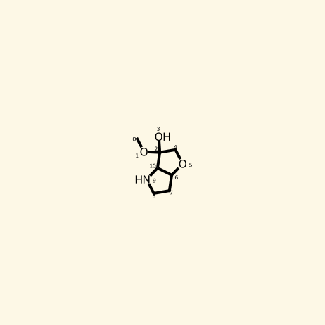 COC1(O)COC2CCNC21